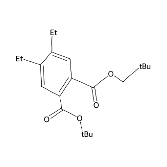 CCc1cc(C(=O)OCC(C)(C)C)c(C(=O)OC(C)(C)C)cc1CC